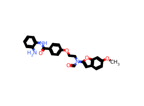 COc1ccc2cc(N(C=O)CCOc3ccc(C(=O)Nc4ccccc4N)cc3)oc2c1